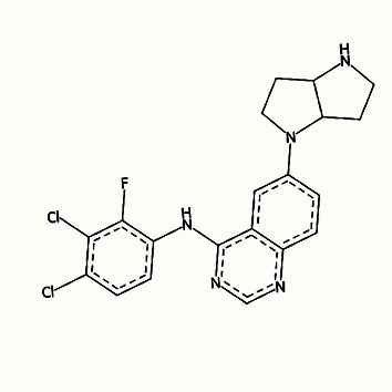 Fc1c(Nc2ncnc3ccc(N4CCC5NCCC54)cc23)ccc(Cl)c1Cl